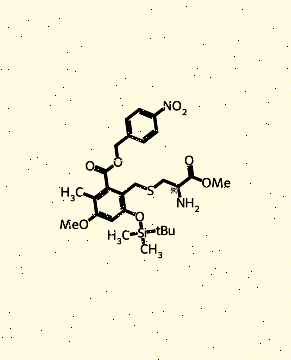 COC(=O)[C@@H](N)CSCc1c(O[Si](C)(C)C(C)(C)C)cc(OC)c(C)c1C(=O)OCc1ccc([N+](=O)[O-])cc1